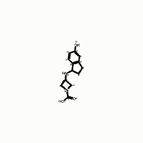 O=C(O)N1CC(NC2CCc3cc(O)ccc32)C1